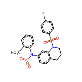 O=C(O)c1ccccc1N(c1ccc2c(c1)N(S(=O)(=O)c1ccc(F)cc1)CCC2)[SH](=O)=O